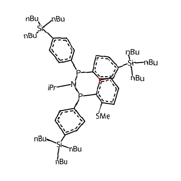 CCCC[Si](CCCC)(CCCC)c1ccc(P(c2ccc([Si](CCCC)(CCCC)CCCC)cc2)N(C(C)C)P(c2ccc([Si](CCCC)(CCCC)CCCC)cc2)c2ccccc2SC)cc1